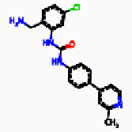 Cc1cc(-c2ccc(NC(=O)Nc3cc(Cl)ccc3CN)cc2)ccn1